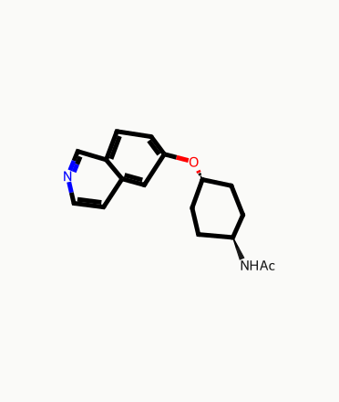 CC(=O)N[C@H]1CC[C@H](Oc2ccc3cnccc3c2)CC1